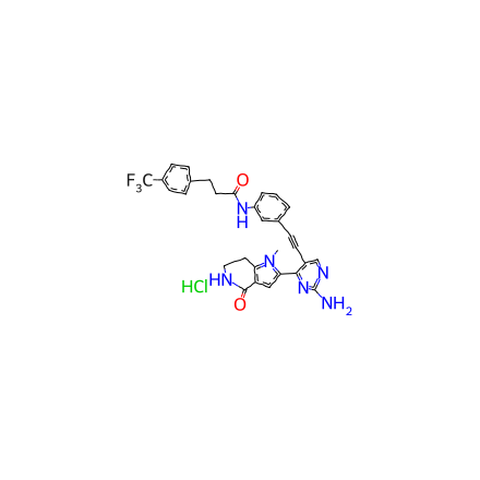 Cl.Cn1c(-c2nc(N)ncc2C#Cc2cccc(NC(=O)CCc3ccc(C(F)(F)F)cc3)c2)cc2c1CCNC2=O